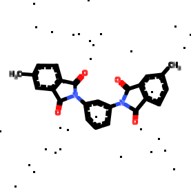 Cc1ccc2c(c1)C(=O)N(c1cccc(N3C(=O)c4ccc(C)cc4C3=O)c1)C2=O